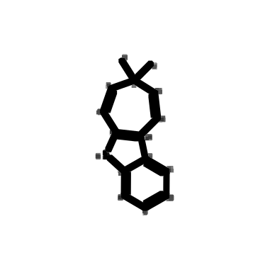 CC1(C)C=Cc2sc3ccccc3c2C=C1